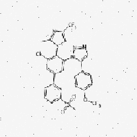 Cc1nc(C(F)(F)F)cn1-c1c(Cl)cc(-c2cccc(S(C)(=O)=O)c2)cc1-n1nncc1-c1ccc(OC(F)(F)F)cc1